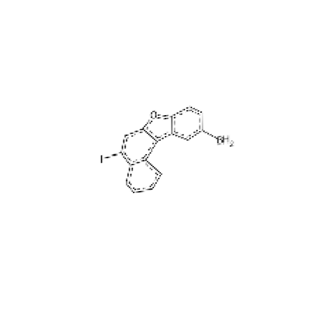 Bc1ccc2oc3cc(I)c4ccccc4c3c2c1